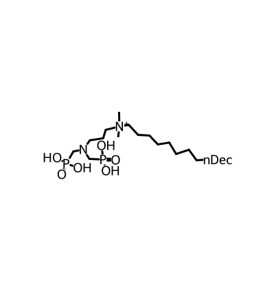 CCCCCCCCCCCCCCCCCC[N+](C)(C)CCCN(CP(=O)(O)O)CP(=O)(O)O